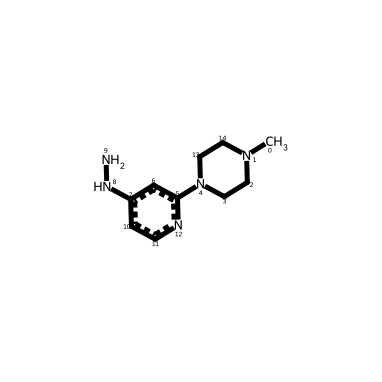 CN1CCN(c2cc(NN)ccn2)CC1